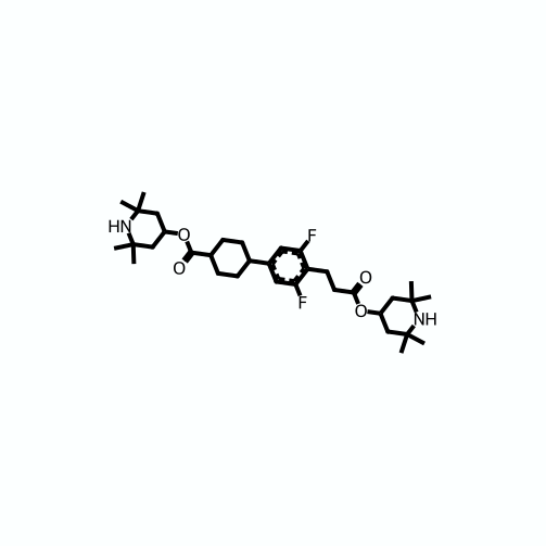 CC1(C)CC(OC(=O)CCc2c(F)cc(C3CCC(C(=O)OC4CC(C)(C)NC(C)(C)C4)CC3)cc2F)CC(C)(C)N1